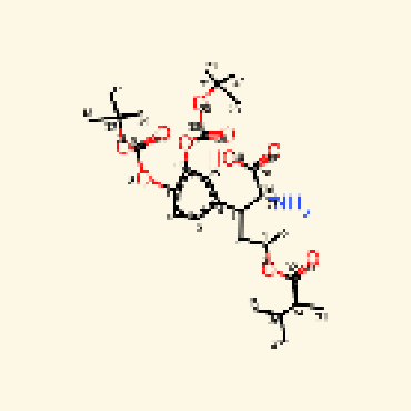 CC(CC(c1ccc(OC(=O)OC(C)(C)C)c(OC(=O)OC(C)(C)C)c1)[C@H](N)C(=O)O)OC(=O)C(C)C(C)C